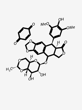 COc1cc([C@@H]2c3cc4c(cc3C(O[C@@H]3O[C@@H]5CO[C@@H](C)O[C@H]5[C@H](O)[C@H]3O)C3COC(=O)[C@@H]32)OCO4)cc(OC)c1O.O=C1C=CC(=O)C=C1